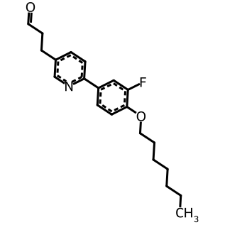 CCCCCCCOc1ccc(-c2ccc(CCC=O)cn2)cc1F